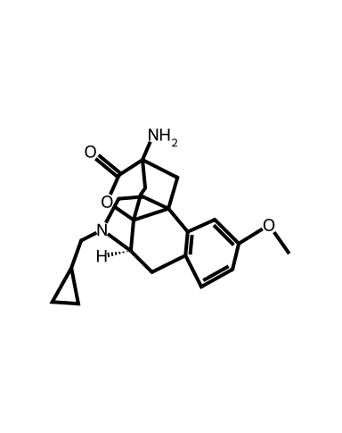 COc1ccc2c(c1)C13CCN(CC4CC4)[C@H](C2)C12CCC(N)(C3)C(=O)O2